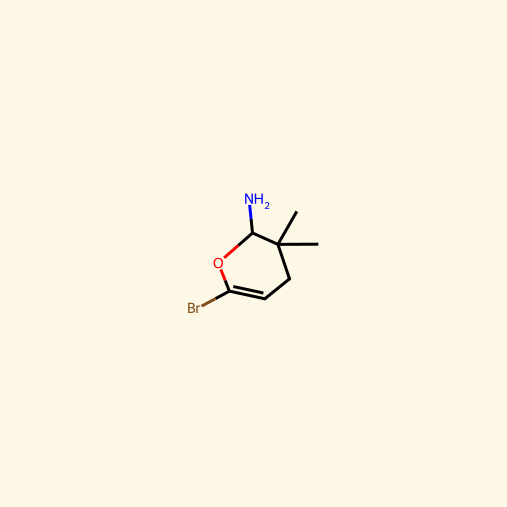 CC1(C)CC=C(Br)OC1N